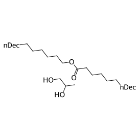 CC(O)CO.CCCCCCCCCCCCCCCCOC(=O)CCCCCCCCCCCCCCC